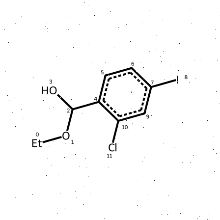 CCOC(O)c1ccc(I)cc1Cl